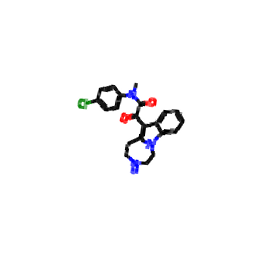 CN(C(=O)C(=O)c1c2n(c3ccccc13)CCNCC2)c1ccc(Cl)cc1